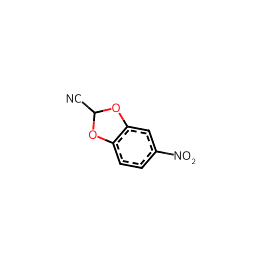 N#CC1Oc2ccc([N+](=O)[O-])cc2O1